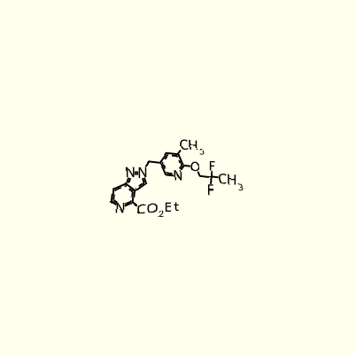 CCOC(=O)c1nccc2nn(Cc3cnc(OCC(C)(F)F)c(C)c3)cc12